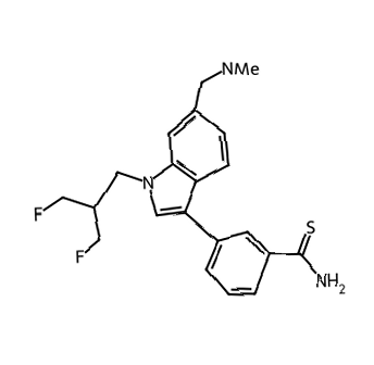 CNCc1ccc2c(-c3cccc(C(N)=S)c3)cn(CC(CF)CF)c2c1